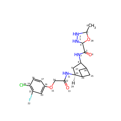 CC1NNC(C(=O)NC2C[C@H](NC(=O)COc3ccc(Cl)c(F)c3)C3CC2C3)O1